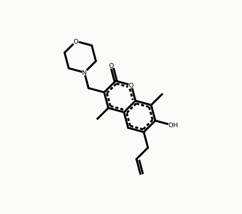 C=CCc1cc2c(C)c(CN3CCOCC3)c(=O)oc2c(C)c1O